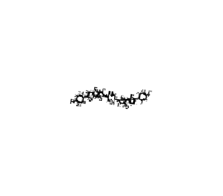 Fc1ccc(-c2cc3sc4cc(-c5cnc(-c6cc7sc8cc(-c9ccc(F)cc9)sc8c7s6)cn5)sc4c3s2)cc1